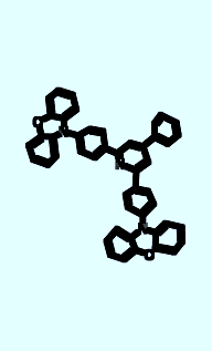 c1ccc(-c2cc(-c3ccc(N4c5ccccc5Oc5ccccc54)cc3)nc(-c3ccc(N4c5ccccc5Oc5ccccc54)cc3)c2)cc1